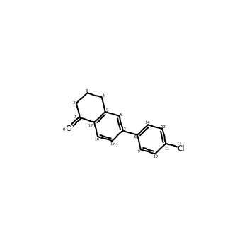 O=C1CCCc2cc(-c3ccc(Cl)cc3)ccc21